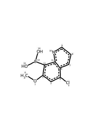 COc1cc(Cl)c2cccnc2c1B(O)O